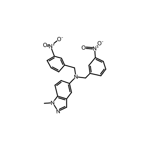 Cn1ncc2cc(N(Cc3cccc([N+](=O)[O-])c3)Cc3cccc([N+](=O)[O-])c3)ccc21